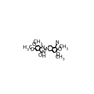 COc1cc2nc(N3CCc4c(cc(OC)c(OC)c4C#N)C3)[nH]c(=O)c2cc1OC